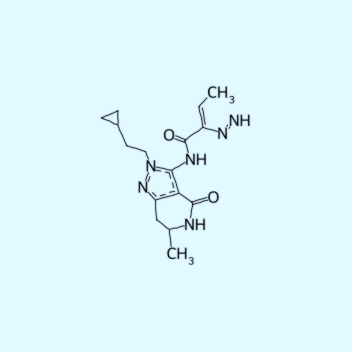 C/C=C(\N=N)C(=O)Nc1c2c(nn1CCC1CC1)CC(C)NC2=O